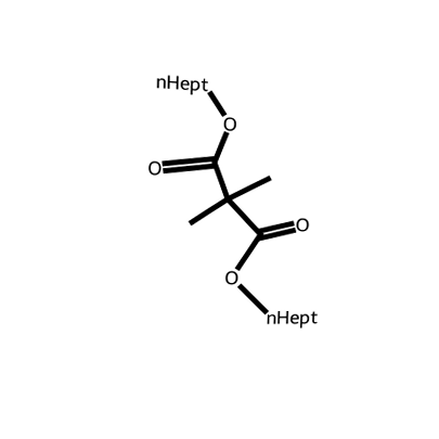 CCCCCCCOC(=O)C(C)(C)C(=O)OCCCCCCC